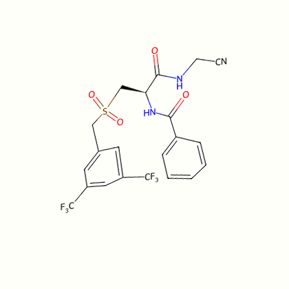 N#CCNC(=O)[C@H](CS(=O)(=O)Cc1cc(C(F)(F)F)cc(C(F)(F)F)c1)NC(=O)c1ccccc1